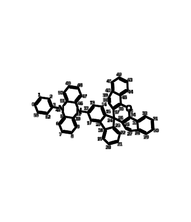 c1ccc(N2c3ccccc3N(c3ccc4c(c3)-c3ccccc3C43c4ccc5ccccc5c4Oc4c3ccc3ccccc43)c3ccccc32)cc1